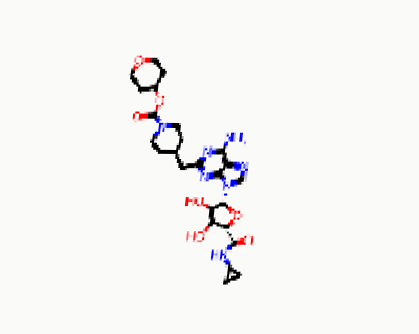 Nc1nc(CC2CCN(C(=O)OC3CCOCC3)CC2)nc2c1ncn2[C@@H]1O[C@H](C(=O)NC2CC2)C(O)C1O